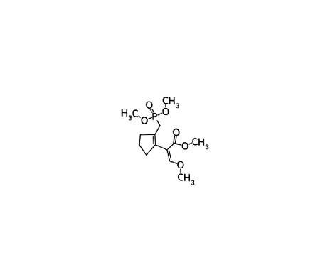 COC=C(C(=O)OC)C1=C(CP(=O)(OC)OC)CCC1